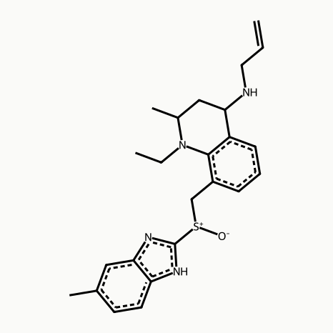 C=CCNC1CC(C)N(CC)c2c(C[S+]([O-])c3nc4cc(C)ccc4[nH]3)cccc21